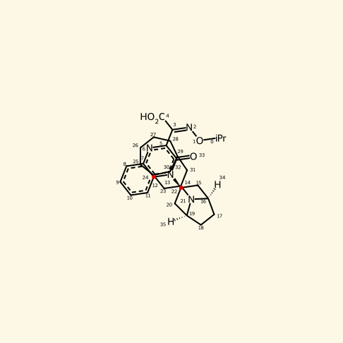 CC(C)O/N=C(/C(=O)O)c1nc2ccccc2n([C@H]2C[C@H]3CC[C@@H](C2)N3C2CC3CCCCC(C3)C2)c1=O